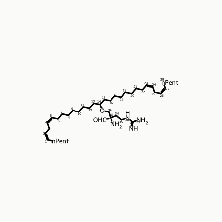 CCCCC/C=C\C/C=C\CCCCCCCCC(CCCCCCCC/C=C\C/C=C\CCCCC)OC[C@](N)(C=O)CCNC(=N)N